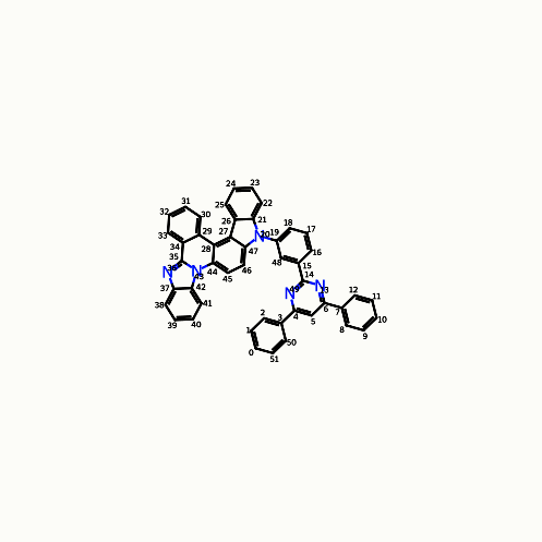 c1ccc(-c2cc(-c3ccccc3)nc(-c3cccc(-n4c5ccccc5c5c6c7ccccc7c7nc8ccccc8n7c6ccc54)c3)n2)cc1